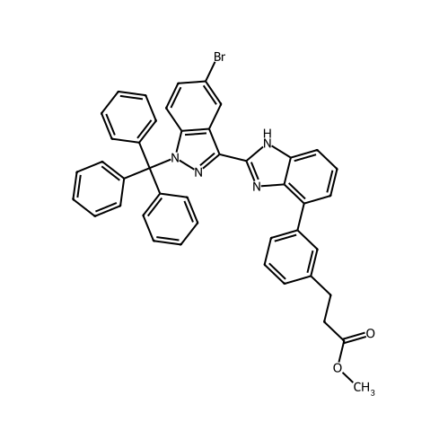 COC(=O)CCc1cccc(-c2cccc3[nH]c(-c4nn(C(c5ccccc5)(c5ccccc5)c5ccccc5)c5ccc(Br)cc45)nc23)c1